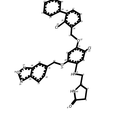 O=C1CCC(CNc2cc(Cl)c(OCc3cccc(-c4ccccc4)c3Cl)cc2OCc2ccc3nonc3c2)N1